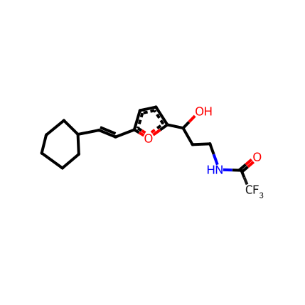 O=C(NCCC(O)c1ccc(/C=C/C2CCCCC2)o1)C(F)(F)F